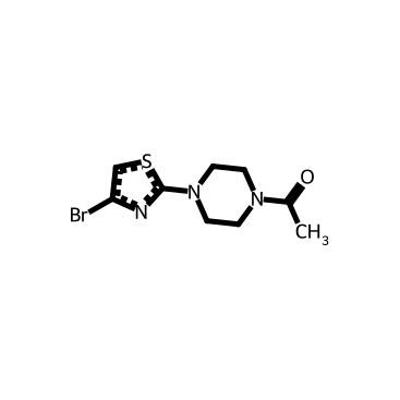 CC(=O)N1CCN(c2nc(Br)cs2)CC1